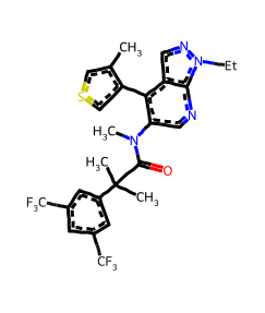 CCn1ncc2c(-c3cscc3C)c(N(C)C(=O)C(C)(C)c3cc(C(F)(F)F)cc(C(F)(F)F)c3)cnc21